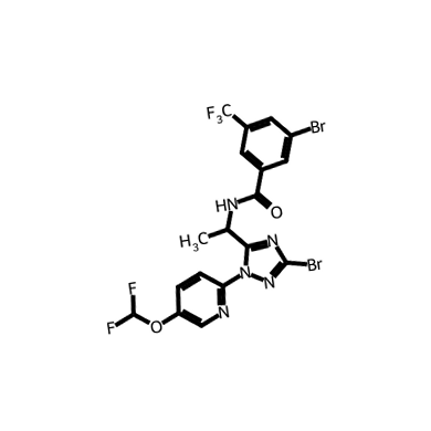 CC(NC(=O)c1cc(Br)cc(C(F)(F)F)c1)c1nc(Br)nn1-c1ccc(OC(F)F)cn1